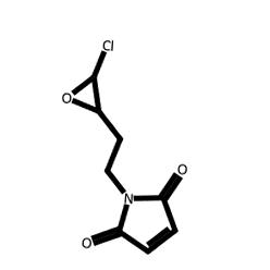 O=C1C=CC(=O)N1CCC1OC1Cl